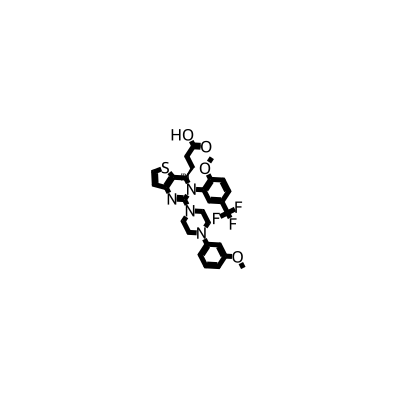 COc1cccc(N2CCN(C3=Nc4ccsc4[C@@H](CCC(=O)O)N3c3cc(C(F)(F)F)ccc3OC)CC2)c1